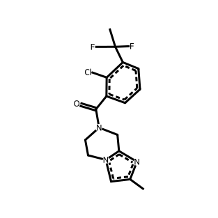 Cc1cn2c(n1)CN(C(=O)c1cccc(C(C)(F)F)c1Cl)CC2